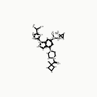 CC1(C(=O)N2CCN(c3cc([S+]([O-])NC4(C#N)CC4)cc4c3cnn4-c3nnc(C(F)F)s3)CC2)CCC1